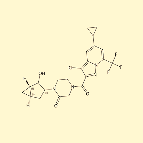 O=C(c1nn2c(C(F)(F)F)cc(C3CC3)cc2c1Cl)N1CCN([C@@H]2C[C@H]3C[C@@H]3C2O)C(=O)C1